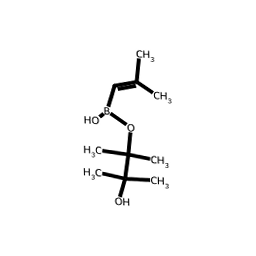 CC(C)=CB(O)OC(C)(C)C(C)(C)O